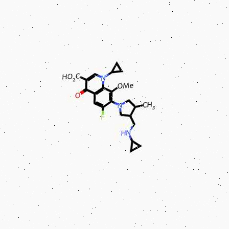 COc1c(N2CC(C)C(CNC3CC3)C2)c(F)cc2c(=O)c(C(=O)O)cn(C3CC3)c12